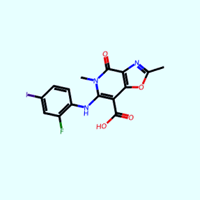 Cc1nc2c(=O)n(C)c(Nc3ccc(I)cc3F)c(C(=O)O)c2o1